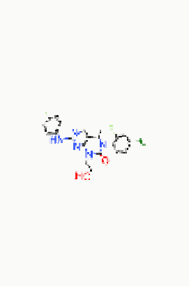 CC(CO)N1C(=O)N(c2ccc(Cl)cc2F)C(C)c2cnc(Nc3ccc(F)cc3)nc21